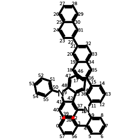 c1ccc(-c2ccccc2N(c2cccc(-c3ccc4cc(-c5ccc6ccccc6c5)ccc4c3)c2)c2cccc3c2c2ccccc2n3-c2ccccc2)cc1